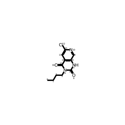 CCCCn1c(=O)[nH]c2cnc(Cl)cc2c1=O